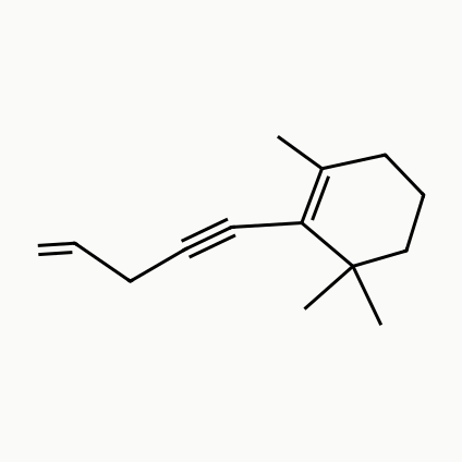 C=CCC#CC1=C(C)CCCC1(C)C